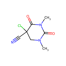 CN1CC(Cl)(C#N)C(=O)N(C)C1=O